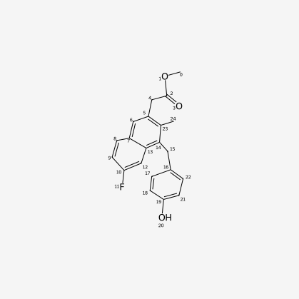 COC(=O)Cc1cc2ccc(F)cc2c(Cc2ccc(O)cc2)c1C